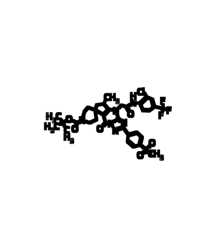 C[C@@H]1CC2(CCN(C(=O)OC(C)(C)C)CC2)c2c1n(CC(=O)Nc1ccc(C(F)(F)F)cc1Cl)c1nc(-c3ccc(S(C)(=O)=O)cc3)nn1c2=O